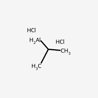 C[CH](C)[AlH2].Cl.Cl